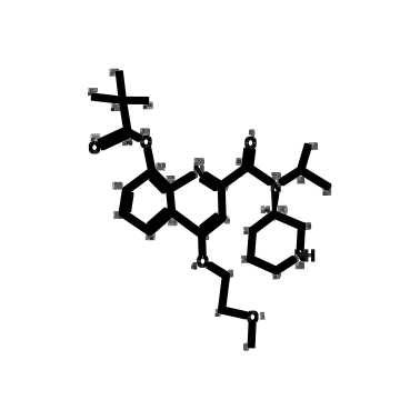 COCCOc1cc(C(=O)N(C(C)C)[C@@H]2CCCNC2)nc2c(OC(=O)C(C)(C)C)cccc12